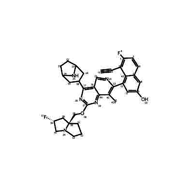 C#Cc1c(F)ccc2cc(O)cc(-c3ncc4c(C5CC6CCC(C5)N6)nc(OC[C@@]56CCCN5C[C@H](F)C6)nc4c3F)c12